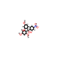 COc1ccc(C(O)(c2ccc([N+](=O)[O-])cc2)c2ccc(OC)cc2OC)c(OC)c1